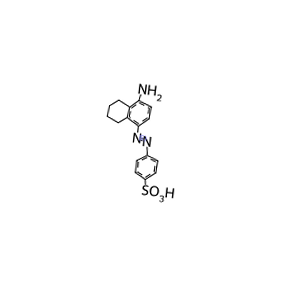 Nc1ccc(/N=N/c2ccc(S(=O)(=O)O)cc2)c2c1CCCC2